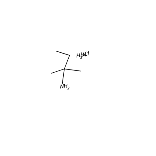 CCC(C)(C)N.Cl.N